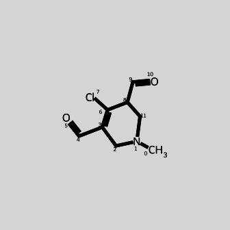 CN1CC(C=O)=C(Cl)C(C=O)C1